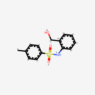 Cc1ccc(S(=O)(=O)Nc2ccccc2CO)cc1